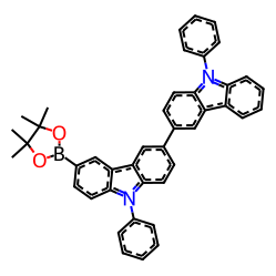 CC1(C)OB(c2ccc3c(c2)c2cc(-c4ccc5c(c4)c4ccccc4n5-c4ccccc4)ccc2n3-c2ccccc2)OC1(C)C